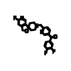 O=C(c1ccc(CN2CCC3(CC2)OCc2cc(F)ncc23)nc1)c1ccc(F)c(F)c1